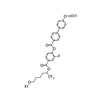 CCCCCCCCOc1ccc(-c2ccc(C(=O)Oc3ccc(C(=O)OC(CCCCOCC)C(F)(F)F)cc3F)cc2)cc1